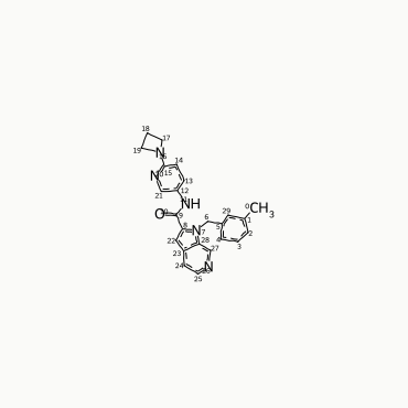 Cc1cccc(Cn2c(C(=O)Nc3ccc(N4CCC4)nc3)cc3ccncc32)c1